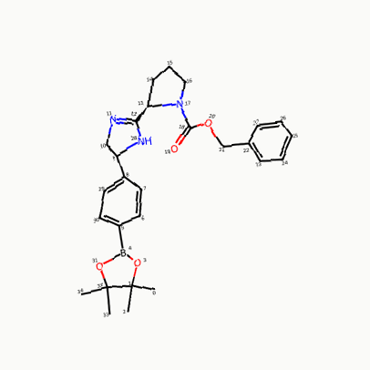 CC1(C)OB(c2ccc(C3CN=C([C@H]4CCCN4C(=O)OCc4ccccc4)N3)cc2)OC1(C)C